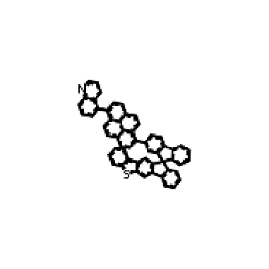 c1ccc2c(c1)-c1ccc(-c3ccc4ccc5c(-c6cccc7ncccc67)ccc6ccc3c4c65)cc1C21c2ccccc2-c2cc3sc4ccccc4c3cc21